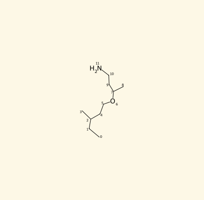 CCC(C)CCOC(C)CCN